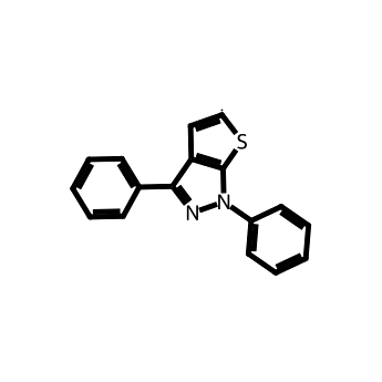 [c]1cc2c(-c3ccccc3)nn(-c3ccccc3)c2s1